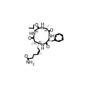 CC(C)[C@H]1NC(=O)[C@@H](C)[C@@H](C/C=C\CCC(N)=O)NC(=O)[C@@H](Cc2ccccc2)NC(=O)[C@@H](C)NC1=O